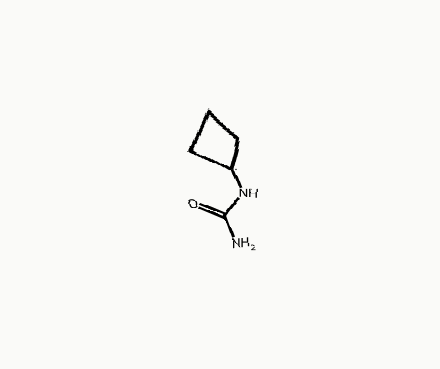 NC(=O)N[C]1CCC1